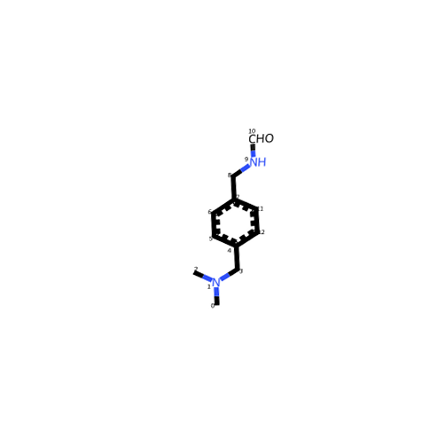 CN(C)Cc1ccc(CNC=O)cc1